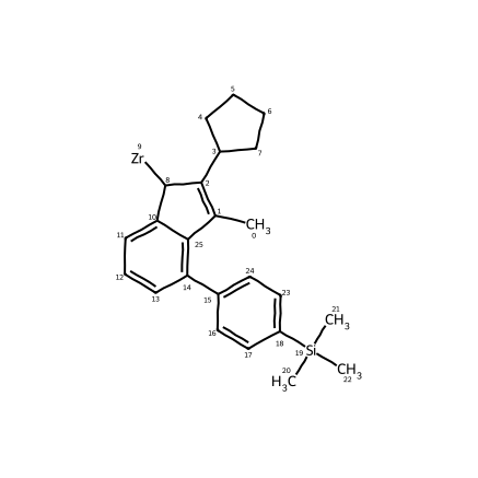 CC1=C(C2CCCC2)[CH]([Zr])c2cccc(-c3ccc([Si](C)(C)C)cc3)c21